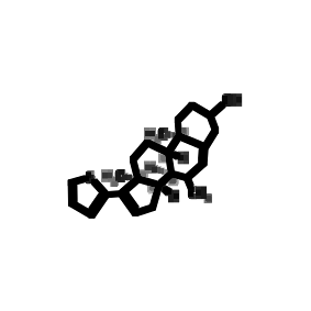 CC1C=C2CC(O)CC[C@]2(C)[C@H]2CC[C@]3(C)C(c4cccs4)=CC[C@H]3[C@H]12